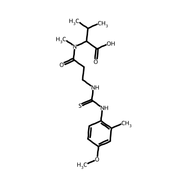 COc1ccc(NC(=S)NCCC(=O)N(C)C(C(=O)O)C(C)C)c(C)c1